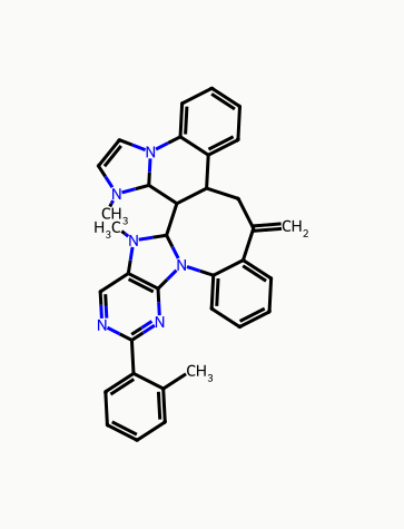 C=C1CC2c3ccccc3N3C=CN(C)C3C2C2N(C)c3cnc(-c4ccccc4C)nc3N2c2ccccc21